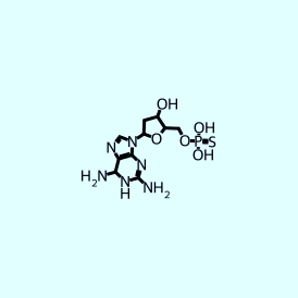 NC1=Nc2c(ncn2C2CC(O)C(COP(O)(O)=S)O2)C(N)N1